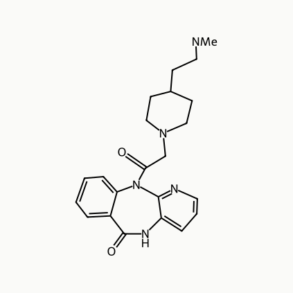 CNCCC1CCN(CC(=O)N2c3ccccc3C(=O)Nc3cccnc32)CC1